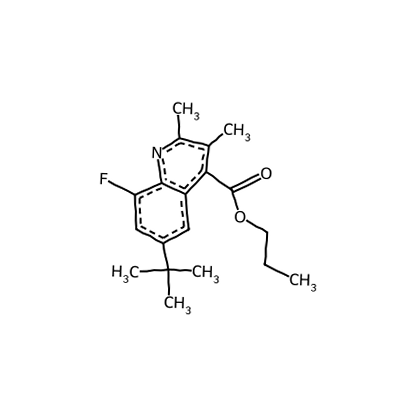 CCCOC(=O)c1c(C)c(C)nc2c(F)cc(C(C)(C)C)cc12